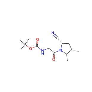 CC1[C@@H](C)C[C@@H](C#N)N1C(=O)CNC(=O)OC(C)(C)C